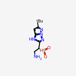 CC(C)(C)c1cc2[nH]c(C(CN)[SH](=O)=O)nn2n1